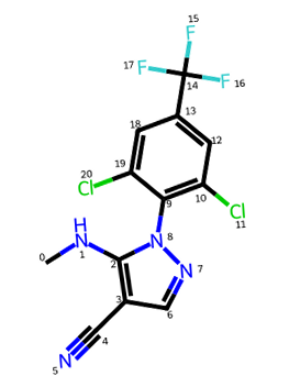 CNc1c(C#N)cnn1-c1c(Cl)cc(C(F)(F)F)cc1Cl